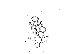 CC1=CCCC1NC(=O)Nc1ccc(Cl)c(S(=O)(=O)C(F)(F)c2ccccn2)c1O